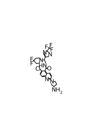 NC1CCN(c2ccc3c(C(=O)NCC(c4cnc(C(F)(F)F)nc4)N4CCC(F)(F)CC4)c(Cl)ccc3n2)C1